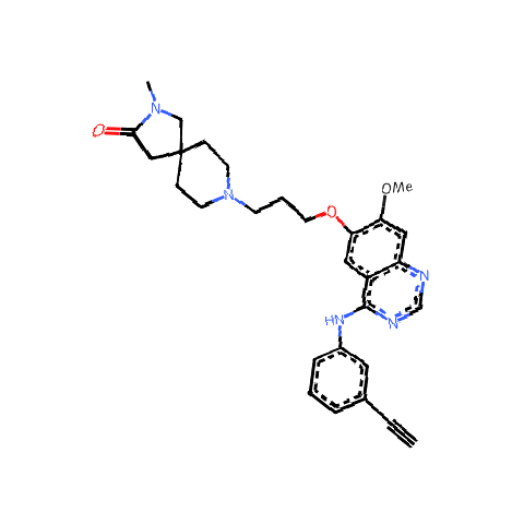 C#Cc1cccc(Nc2ncnc3cc(OC)c(OCCCN4CCC5(CC4)CC(=O)N(C)C5)cc23)c1